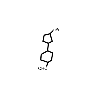 CCCC1CCC(C2CCC(C=O)CC2)C1